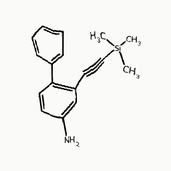 C[Si](C)(C)C#Cc1cc(N)ccc1-c1ccccc1